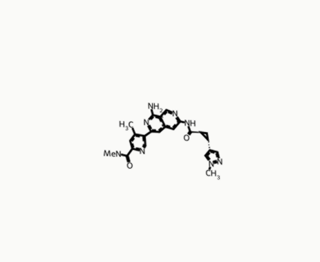 CNC(=O)c1cc(C)c(-c2cc3cc(NC(=O)[C@H]4C[C@@H]4c4cnn(C)c4)ncc3c(N)n2)cn1